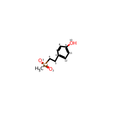 CS(=O)(=O)CCc1ccc(O)cc1